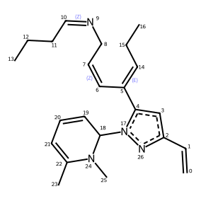 C=Cc1cc(C(/C=C\C/N=C\CCC)=C/CC)n(C2C=CC=C(C)N2C)n1